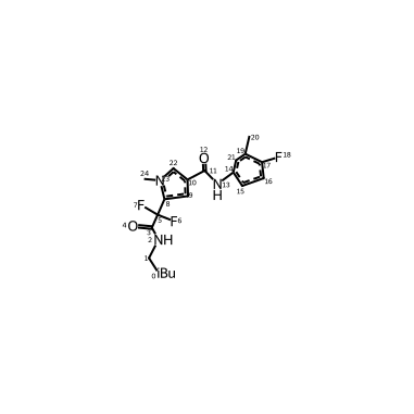 CCC(C)CNC(=O)C(F)(F)c1cc(C(=O)Nc2ccc(F)c(C)c2)cn1C